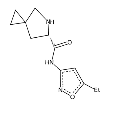 CCc1cc(NC(=O)[C@@H]2CC3(CC3)CN2)no1